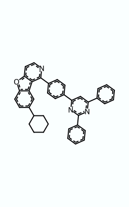 c1ccc(-c2cc(-c3ccc(-c4nccc5oc6ccc(C7CCCCC7)cc6c45)cc3)nc(-c3ccccc3)n2)cc1